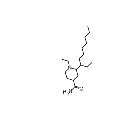 CCCCCCCC(CC)C1CC(C(N)=O)CCN1CC